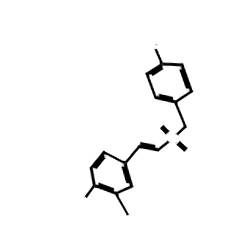 O=S(=O)(C=Cc1ccc(F)c(O)c1)Cc1ccc(Br)cc1